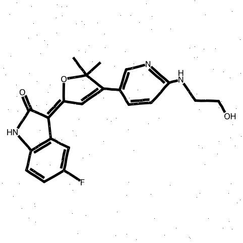 CC1(C)OC(=C2C(=O)Nc3ccc(F)cc32)C=C1c1ccc(NCCO)nc1